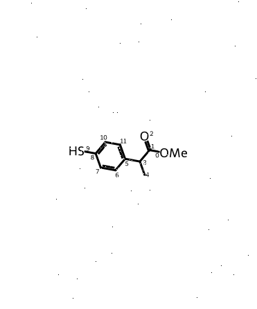 COC(=O)C(C)c1ccc(S)cc1